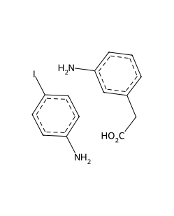 Nc1ccc(I)cc1.Nc1cccc(CC(=O)O)c1